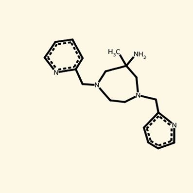 CC1(N)CN(Cc2ccccn2)CCN(Cc2ccccn2)C1